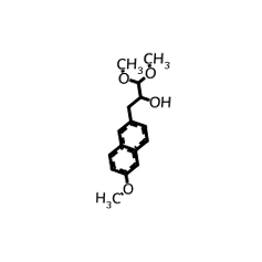 COc1ccc2cc(CC(O)C(OC)OC)ccc2c1